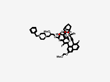 COCOc1cc(-c2ncc3c(N4CC5CCC(C4)N5C(=O)OC(C)(C)C)nc(OC[C@@H](CN4CCN(Cc5ccccc5)CC4)OC)nc3c2F)c2c(C#C[Si](C(C)C)(C(C)C)C(C)C)c(F)ccc2c1